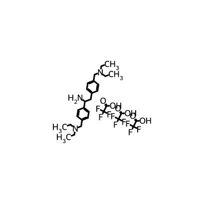 CCN(CC)Cc1ccc(CC(N)c2ccc(CN(CC)CC)cc2)cc1.O=C(O)C(F)(F)F.O=C(O)C(F)(F)F.O=C(O)C(F)(F)F